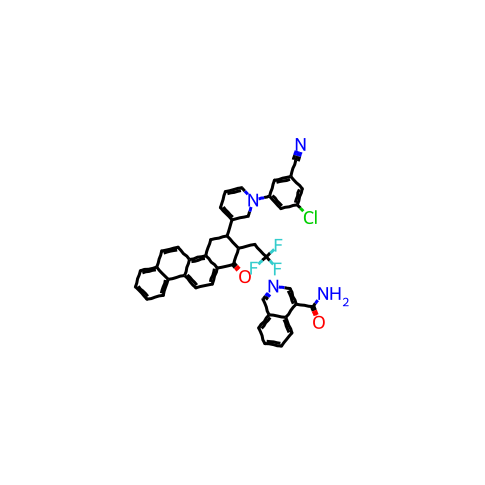 N#Cc1cc(Cl)cc(N2C=CC=C(C3Cc4c(ccc5c4ccc4ccccc45)C(=O)C3CC(F)(F)F)C2)c1.NC(=O)c1cncc2ccccc12